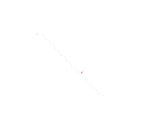 CCCCCCCCCCCCCCCCOC(=O)CCCCCCCCCCCCCCC(C)C